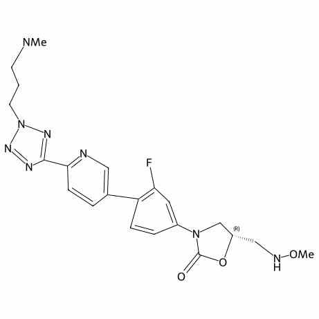 CNCCCn1nnc(-c2ccc(-c3ccc(N4C[C@H](CNOC)OC4=O)cc3F)cn2)n1